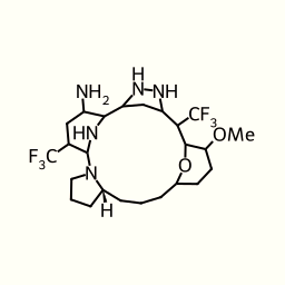 COC1CCC2CCC[C@@H]3CCCN3C3NC(C(N)CC3C(F)(F)F)C3CC(NN3)C(C(F)(F)F)C1O2